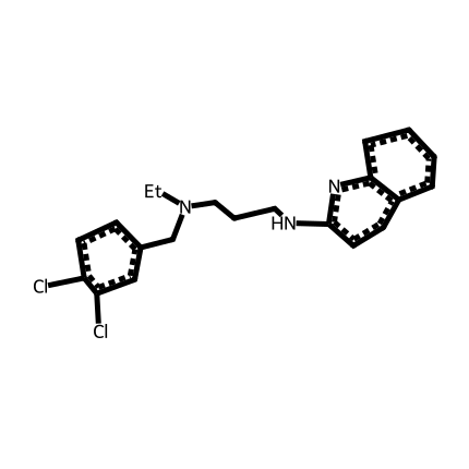 CCN(CCCNc1ccc2ccccc2n1)Cc1ccc(Cl)c(Cl)c1